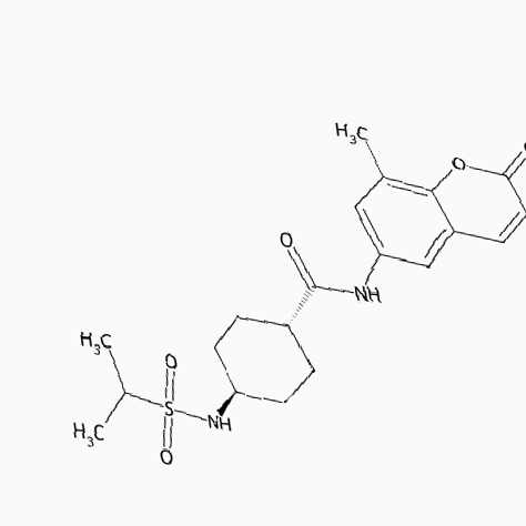 Cc1cc(NC(=O)[C@H]2CC[C@H](NS(=O)(=O)C(C)C)CC2)cc2ccc(=O)oc12